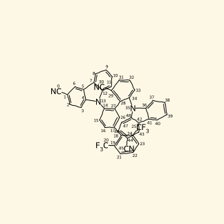 N#Cc1ccc2c(c1)c1ccccc1n2-c1ccc(-c2c(C(F)(F)F)cccc2C(F)(F)F)cc1-c1c(C#N)cccc1-n1c2ccccc2c2cc(C#N)ccc21